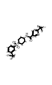 O=C(N[C@H]1CC[C@@H](S(=O)(=O)c2cccc(C(F)(F)F)c2)CC1)c1cnc(C(F)(F)F)nc1